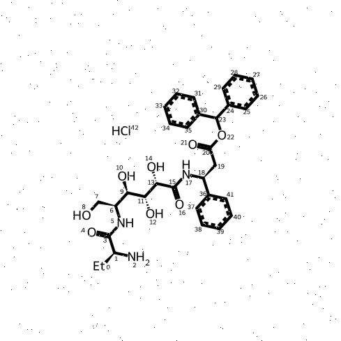 CC[C@H](N)C(=O)N[C@@H](CO)[C@@H](O)[C@@H](O)[C@H](O)C(=O)N[C@@H](CC(=O)OC(c1ccccc1)c1ccccc1)c1ccccc1.Cl